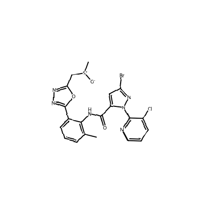 Cc1cccc(-c2nnc(C[S+](C)[O-])o2)c1NC(=O)c1cc(Br)nn1-c1ncccc1Cl